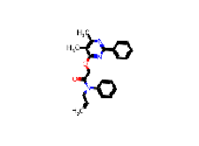 C=CCN(C(=O)COc1nc(-c2ccccc2)nc(C)c1C)c1ccccc1